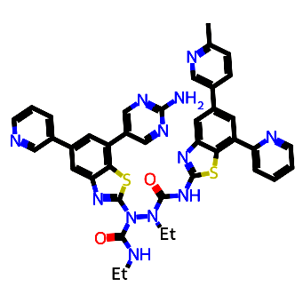 CCNC(=O)N(c1nc2cc(-c3cccnc3)cc(-c3cnc(N)nc3)c2s1)N(CC)C(=O)Nc1nc2cc(-c3ccc(C)nc3)cc(-c3ccccn3)c2s1